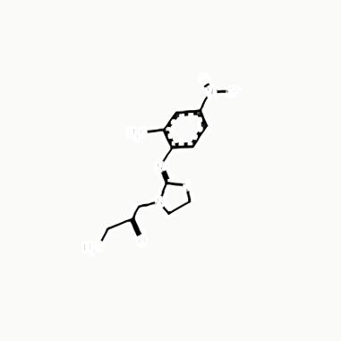 CCC(=O)CN1CCSC1=Nc1ccc([N+](=O)[O-])cc1C